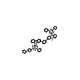 c1ccc(-c2ccc(-c3nc(-c4ccccc4)nc(-n4c5ccccc5c5ccc(-c6cccc(-c7ccc8c(c7)Sc7ccccc7N8c7nc(-c8ccccc8)nc(-c8ccccc8)n7)c6)cc54)n3)cc2)cc1